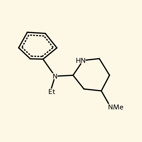 CCN(c1ccccc1)C1CC(NC)CCN1